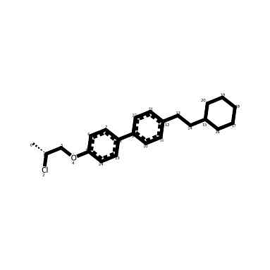 C[C@@H](Cl)COc1ccc(-c2ccc(CCC3CC[CH]CC3)cc2)cc1